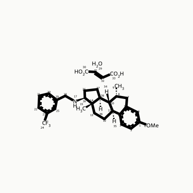 COc1ccc2c(c1)C[C@@H](C)[C@@H]1[C@@H]2CC[C@]2(C)[C@@H](NCc3cccc(C(F)(F)F)c3)CC[C@@H]12.O.O=C(O)/C=C/C(=O)O